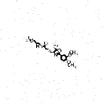 COCCCNC(=O)CSCc1nc(-c2ccc(OC)c(OC)c2)oc1C